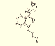 C=CCCCOc1ccccc1C(=O)NCC(F)(F)F